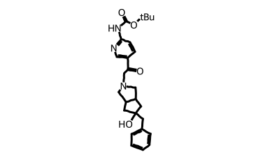 CC(C)(C)OC(=O)Nc1ccc(C(=O)CN2CC3CC(O)(Cc4ccccc4)CC3C2)cn1